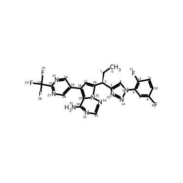 CC[C@@H](c1cn(-c2cc(F)ccc2F)nn1)c1cc(-c2cnc(C(F)(F)F)nc2)c2c(N)ncnn12